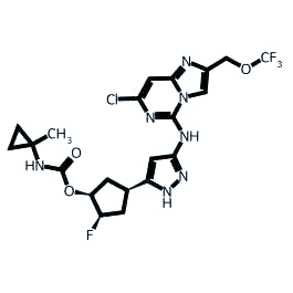 CC1(NC(=O)O[C@H]2C[C@@H](c3cc(Nc4nc(Cl)cc5nc(COC(F)(F)F)cn45)n[nH]3)C[C@H]2F)CC1